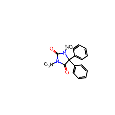 O=C1N([N+](=O)[O-])C(=O)C(c2ccccc2)(c2ccccc2)N1[N+](=O)[O-]